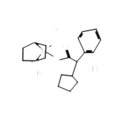 C[N+]1(C)C2CC[C@@H]1[C@@H](OC(=O)[C@@](O)(c1ccccc1)C1CCCC1)C2.[Br-]